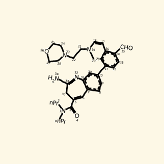 CCCN(CCC)C(=O)C1=Cc2ccc(-c3ccc(C=O)c(/C=C\N(C)CCN4CCOCC4)c3)cc2N=C(N)C1